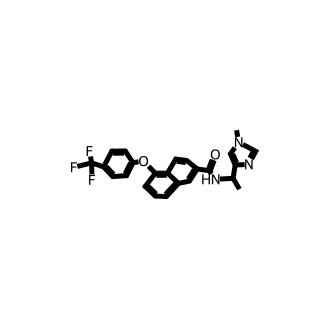 CC(NC(=O)c1ccc2c(Oc3ccc(C(F)(F)F)cc3)cccc2c1)c1cn(C)cn1